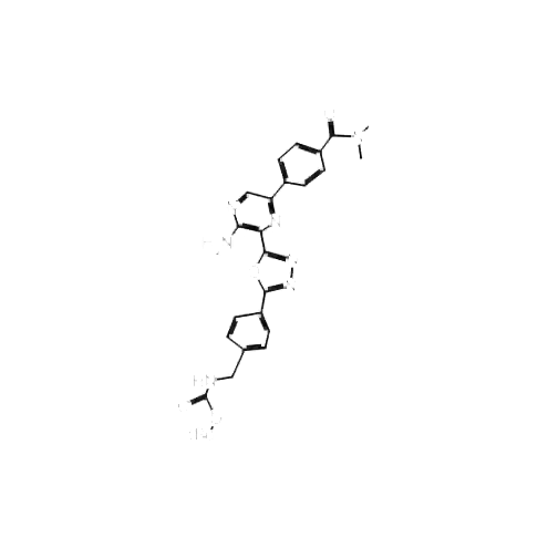 CN(C)C(=O)c1ccc(-c2cnc(N)c(-c3nnc(-c4ccc(CNC(=O)OC(C)(C)C)cc4)o3)n2)cc1